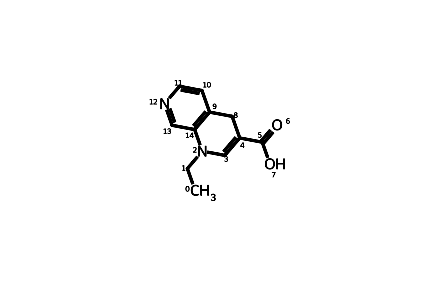 CCN1C=C(C(=O)O)Cc2ccncc21